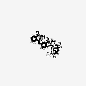 CCNC(=O)C(C)(C)CC(C)(C)C(=O)N1CCN(C(=O)c2cc(Cc3n[nH]c(=O)c4ccccc34)ccc2F)CC1